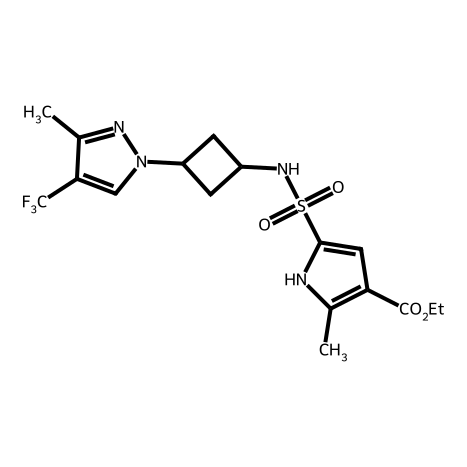 CCOC(=O)c1cc(S(=O)(=O)NC2CC(n3cc(C(F)(F)F)c(C)n3)C2)[nH]c1C